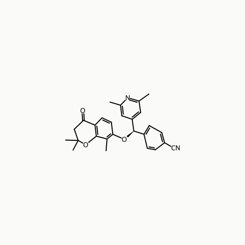 Cc1cc([C@H](Oc2ccc3c(c2C)OC(C)(C)CC3=O)c2ccc(C#N)cc2)cc(C)n1